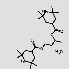 CC(CCOC(=O)C1CC(C)(C)NC(C)(C)C1)OC(=O)C1CC(C)(C)NC(C)(C)C1.O